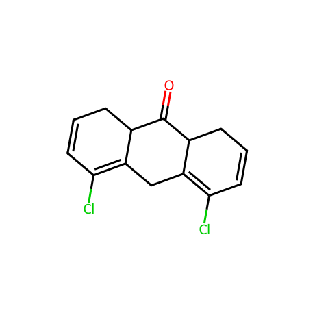 O=C1C2CC=CC(Cl)=C2CC2=C(Cl)C=CCC12